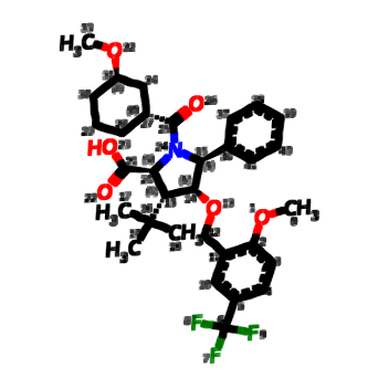 COc1ccc(C(F)(F)F)cc1CO[C@H]1[C@H](C(C)(C)C)[C@@H](C(=O)O)N(C(=O)[C@@H]2CCC[C@@H](OC)C2)[C@H]1c1ccccc1